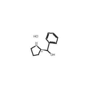 Cl.OC(c1ccccc1)[C@H]1CCCN1